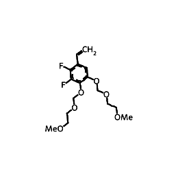 C=Cc1cc(OCOCCOC)c(OCOCCOC)c(F)c1F